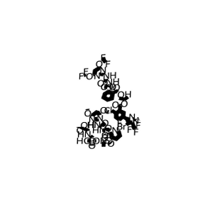 CC(C)OC(=O)c1cc(-c2nn(C)c(C(F)(F)F)c2Br)c(F)cc1Cl.CCS(=O)(=O)c1cccnc1S(=O)(=O)NC(=O)Nc1nc(OC)cc(OC)n1.O=C(Nc1nc(OC(F)F)cc(OC(F)F)n1)NS(=O)(=O)c1ccccc1C(=O)O.O=C(O)CNCP(=O)(O)O